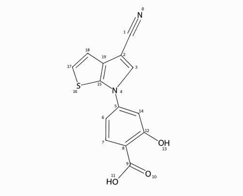 N#Cc1cn(-c2ccc(C(=O)O)c(O)c2)c2sccc12